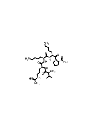 CC(C)[C@H](N)C(=O)N[C@@H](CCCNC(=N)N)C(=O)N[C@@H](CCCCN)C(=O)N[C@@H](CCCCN)C(=O)N1CCC[C@H]1C(=O)O